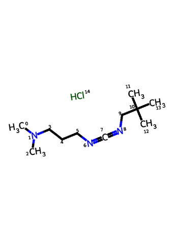 CN(C)CCCN=C=NCC(C)(C)C.Cl